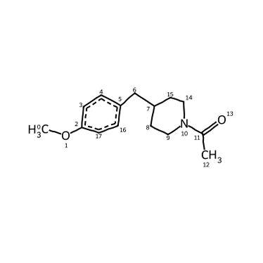 COc1ccc(CC2CCN(C(C)=O)CC2)cc1